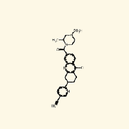 C#Cc1ccc(C2CCc3c(nc4cc(C(=O)N5CCN(C(=O)O)C[C@@H]5C)ccc4c3Cl)C2)nc1